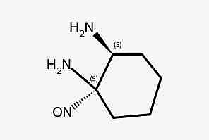 N[C@H]1CCCC[C@]1(N)N=O